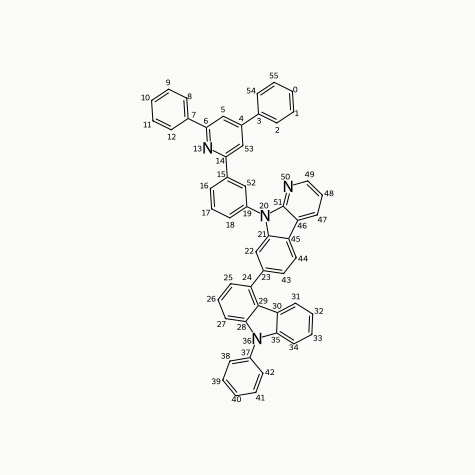 c1ccc(-c2cc(-c3ccccc3)nc(-c3cccc(-n4c5cc(-c6cccc7c6c6ccccc6n7-c6ccccc6)ccc5c5cccnc54)c3)c2)cc1